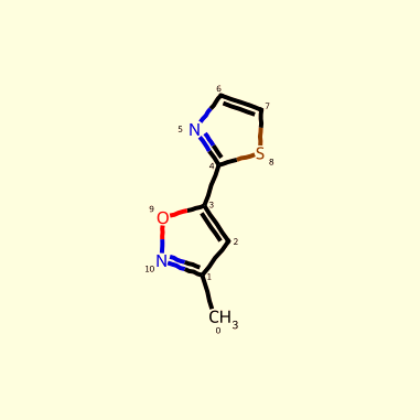 Cc1cc(-c2nccs2)on1